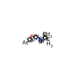 CC(=O)c1ccc(Oc2ccc(CN3CCC[C@@H]3c3cc(C)cc(C)c3)cc2)c(F)c1